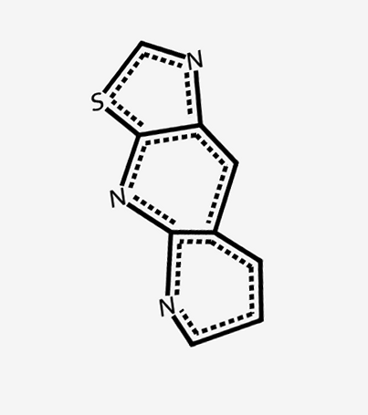 c1cnc2nc3scnc3cc2c1